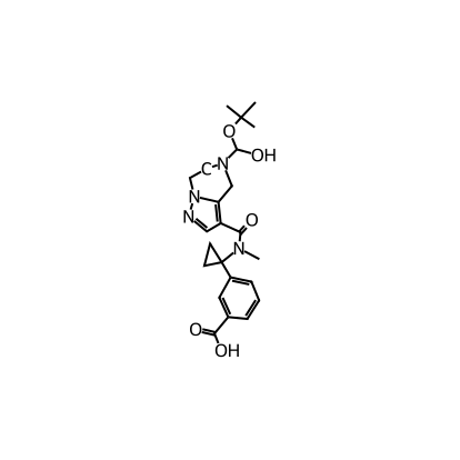 CN(C(=O)c1cnn2c1CN(C(O)OC(C)(C)C)CC2)C1(c2cccc(C(=O)O)c2)CC1